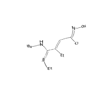 CC/N=C(NC(C)(C)C)\C(=C\C(Cl)=NO)CC